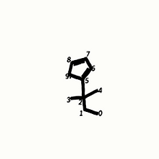 CCC(C)(C)C1=CC=C[C]1